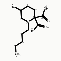 CCCCCN1CC(O)CCC1(C(=O)O)C(=O)O